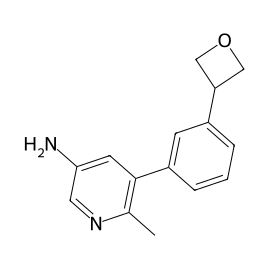 Cc1ncc(N)cc1-c1cccc(C2COC2)c1